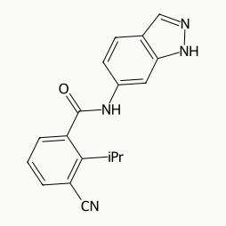 CC(C)c1c(C#N)cccc1C(=O)Nc1ccc2cn[nH]c2c1